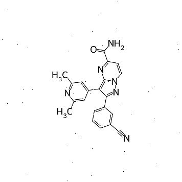 Cc1cc(-c2c(-c3cccc(C#N)c3)nn3ccc(C(N)=O)nc23)cc(C)n1